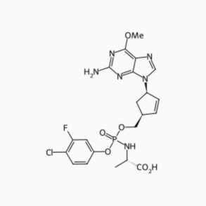 COc1nc(N)nc2c1ncn2[C@H]1C=C[C@@H](COP(=O)(N[C@@H](C)C(=O)O)Oc2ccc(Cl)c(F)c2)C1